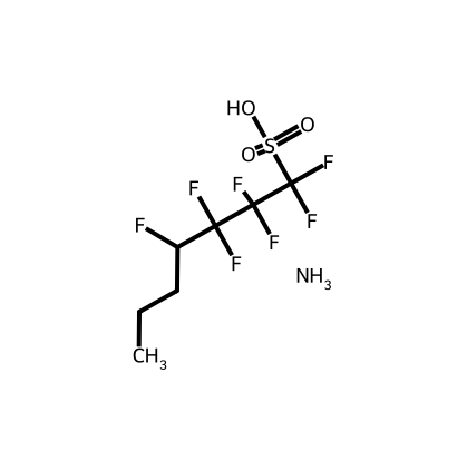 CCCC(F)C(F)(F)C(F)(F)C(F)(F)S(=O)(=O)O.N